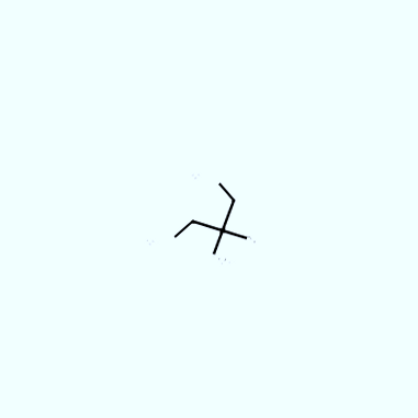 COCC(N)(COC)OC